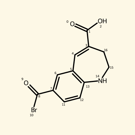 O=C(O)C1=Cc2cc(C(=O)Br)ccc2NCC1